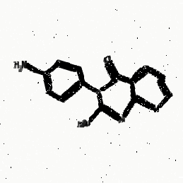 CCCCc1nc2ncccc2c(=O)n1-c1ccc(N)cc1